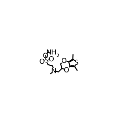 Cc1sc(C)c2c1OCC(CN(C)CCS(=O)(=O)ON)O2